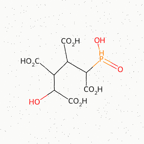 O=C(O)C(O)C(C(=O)O)C(C(=O)O)C(C(=O)O)[PH](=O)O